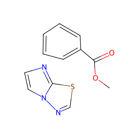 COC(=O)c1ccccc1.c1cn2ncsc2n1